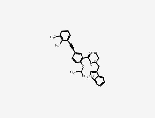 Cc1cccc(C#Cc2ccc(OC(C)C)c(C(=O)N[C@@H](CO)Cc3c[nH]c4ccccc34)c2)c1C